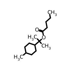 CCCCC(=O)OC(C)(C)C1CCC(C)CC1